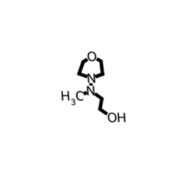 CN(CCO)N1CCOCC1